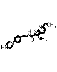 CCc1ccc2c(N)c(C(=O)NCCc3ccc(N4CCNCC4)cc3)sc2n1